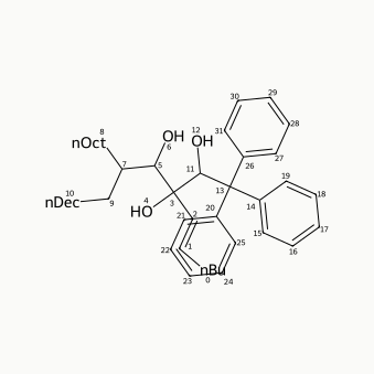 CCCCC=CC(O)(C(O)C(CCCCCCCC)CCCCCCCCCCC)C(O)C(c1ccccc1)(c1ccccc1)c1ccccc1